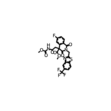 COC(=O)NC(=O)CC1(C(=O)OC)C(=O)N(Cc2nc3cc(C(F)(F)F)ccc3s2)C(=O)c2ccc(F)cc21